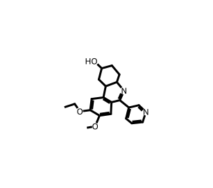 CCOc1cc2c(cc1OC)C(c1cccnc1)=NC1CCC(O)CC21